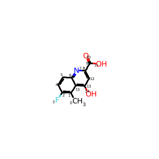 Cc1c(F)ccc2nc(C(=O)O)cc(O)c12